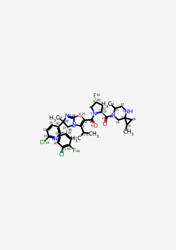 CC(C)C1=C(C(=O)N2C[C@H](F)C[C@H]2C(=O)N2CC3(CC3C)NCC2C)SC2=N[C@@](C)(c3ccc(Cl)nc3)[C@@H](c3ccc(Cl)c(F)c3)N21